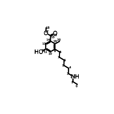 CCNCCCCCCc1cc(O)cc(C(=O)OC)c1C